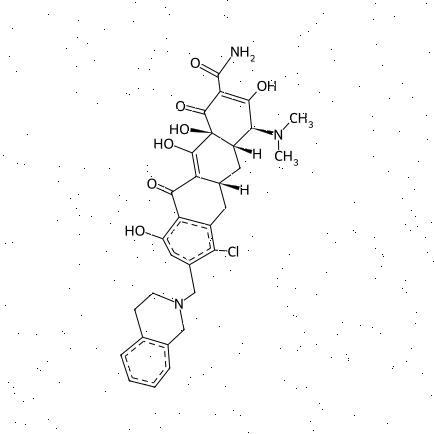 CN(C)[C@@H]1C(O)=C(C(N)=O)C(=O)[C@@]2(O)C(O)=C3C(=O)c4c(O)cc(CN5CCc6ccccc6C5)c(Cl)c4C[C@H]3C[C@@H]12